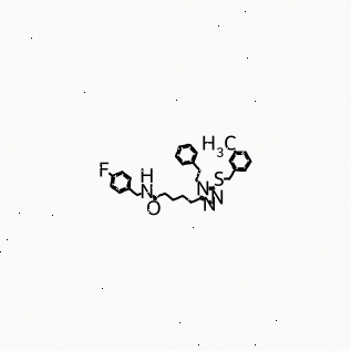 Cc1cccc(CSc2nnc(CCCCC(=O)NCc3ccc(F)cc3)n2CCc2ccccc2)c1